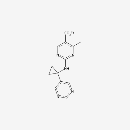 CCOC(=O)c1cnc(NC2(c3cncnc3)CC2)nc1C